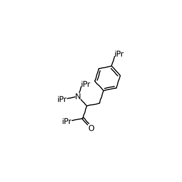 CC(C)C(=O)C(Cc1ccc(C(C)C)cc1)N(C(C)C)C(C)C